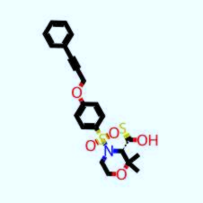 CC1(C)OCCN(S(=O)(=O)c2ccc(OCC#Cc3ccccc3)cc2)[C@@H]1C(O)=S